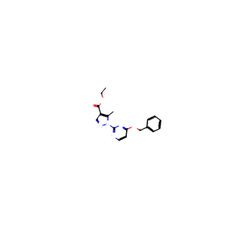 CCOC(=O)c1cnn(-c2nccc(OCc3ccccc3)n2)c1C